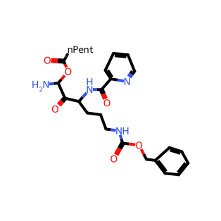 CCCCCC(=O)OC(N)C(=O)C(CCCNC(=O)OCc1ccccc1)NC(=O)c1ccccn1